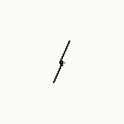 CCCCCCCCCCCCCCCCc1cc[n+](CCCCCCCCCCCCCCC)cc1